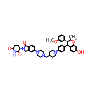 COc1cccc([C@@H]2C(c3ccc(N4CCC(CN5CCN(c6ccc7c(c6)CN([C@H]6CCC(=O)NC6=O)C7=O)CC5)CC4)cc3)c3ccc(O)cc3O[C@@H]2C)c1